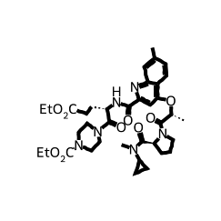 CCOC(=O)CC[C@H](NC(=O)c1cc(O[C@H](C)C(=O)N2CCC[C@H]2C(=O)N(C)C2CC2)c2ccc(C)cc2n1)C(=O)N1CCN(C(=O)OCC)CC1